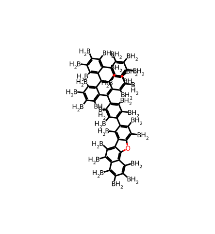 Bc1c(B)c(B)c(-c2c(B)c(B)c(B)c(B)c2-c2c3c(B)c(B)c(B)c(B)c3c(-c3c(B)c(B)c(-c4c(B)c(B)c5oc6c7c(B)c(B)c(B)c(B)c7c(B)c(B)c6c5c4B)c(B)c3B)c3c(B)c(B)c(B)c(B)c23)c(B)c1B